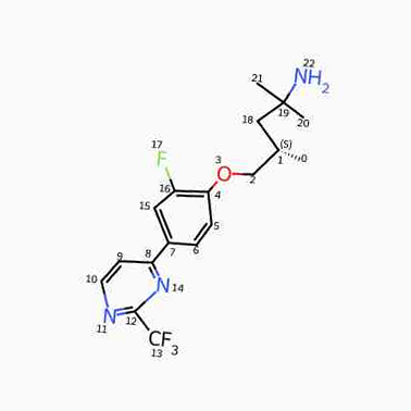 C[C@H](COc1ccc(-c2ccnc(C(F)(F)F)n2)cc1F)CC(C)(C)N